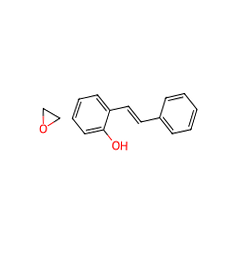 C1CO1.Oc1ccccc1C=Cc1ccccc1